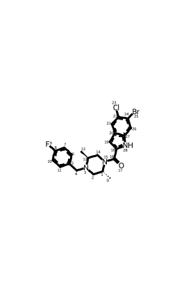 C[C@@H]1CN(Cc2ccc(F)cc2)[C@@H](C)CN1C(=O)c1cc2cc(Cl)c(Br)cc2[nH]1